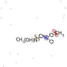 CN(O)C(=S)Sc1cccc(-n2cc(-c3ccc(S(C)(=O)=O)cc3)c(-c3ccccc3)n2)c1